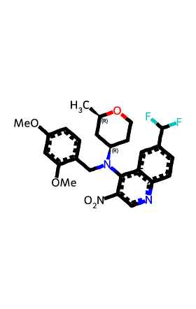 COc1ccc(CN(c2c([N+](=O)[O-])cnc3ccc(C(F)F)cc23)[C@@H]2CCO[C@H](C)C2)c(OC)c1